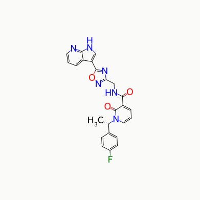 C[C@@H](c1ccc(F)cc1)n1cccc(C(=O)NCc2noc(-c3c[nH]c4ncccc34)n2)c1=O